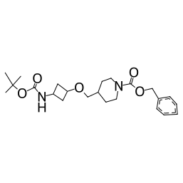 CC(C)(C)OC(=O)NC1CC(OCC2CCN(C(=O)OCc3ccccc3)CC2)C1